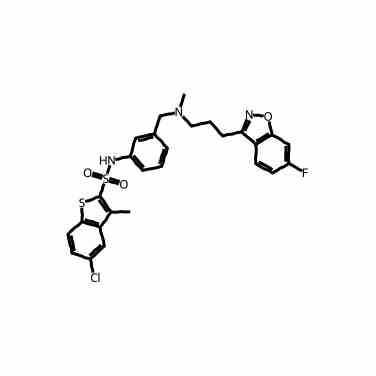 Cc1c(S(=O)(=O)Nc2cccc(CN(C)CCCc3noc4cc(F)ccc34)c2)sc2ccc(Cl)cc12